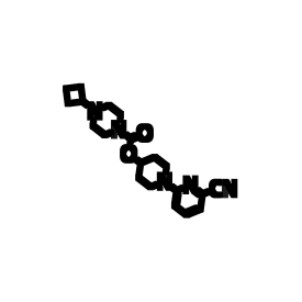 N#Cc1cccc(N2CCC(OC(=O)N3CCN(C4CCC4)CC3)CC2)n1